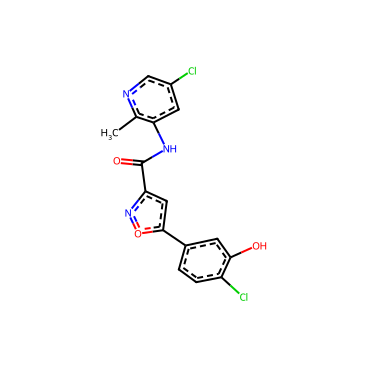 Cc1ncc(Cl)cc1NC(=O)c1cc(-c2ccc(Cl)c(O)c2)on1